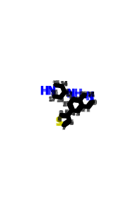 c1cc2cc(-c3ccsc3)cc(NC3CCNCC3)c2cn1